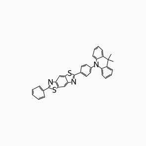 CC1(C)c2ccccc2N(c2ccc(-c3nc4cc5sc(-c6ccccc6)nc5cc4s3)cc2)c2ccccc21